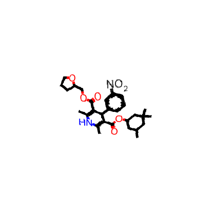 CC1=C(C(=O)OCC2CCCO2)C(c2cccc([N+](=O)[O-])c2)C(C(=O)OC2CC(C)CC(C)(C)C2)=C(C)N1